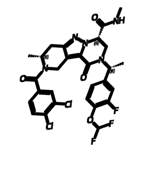 CNC(=O)[C@@H]1CN([C@H](C)c2ccc(OC(F)F)c(F)c2)C(=O)c2c3c(nn21)C[C@@H](C)N(C(=O)c1ccc(Cl)c(Cl)c1)C3